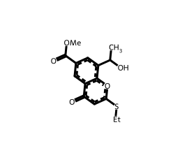 CCSc1cc(=O)c2cc(C(=O)OC)cc(C(C)O)c2o1